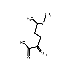 C=C(CCC(C)OC)C(=O)O